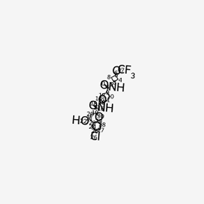 O=C(N[C@H]1C[C@@H](OC(F)(F)F)C1)C1CC2OC1CC2NC(=O)[C@H]1C[C@@H](O)c2cc(Cl)ccc2O1